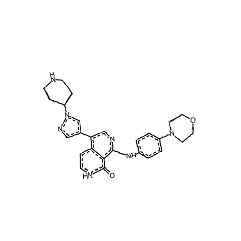 O=c1[nH]ccc2c(-c3cnn(C4CCNCC4)c3)cnc(Nc3ccc(N4CCOCC4)cc3)c12